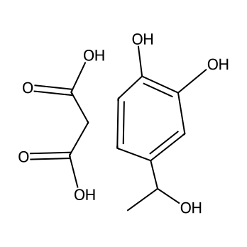 CC(O)c1ccc(O)c(O)c1.O=C(O)CC(=O)O